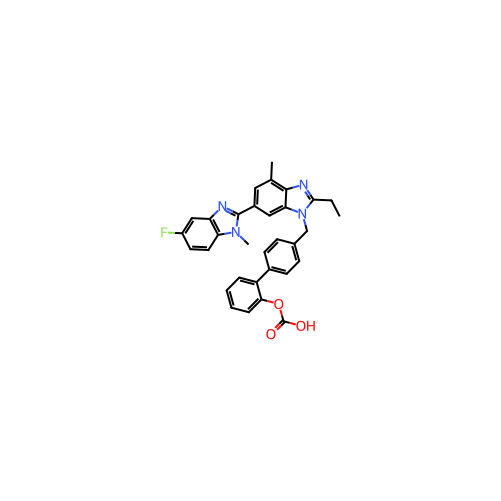 CCc1nc2c(C)cc(-c3nc4cc(F)ccc4n3C)cc2n1Cc1ccc(-c2ccccc2OC(=O)O)cc1